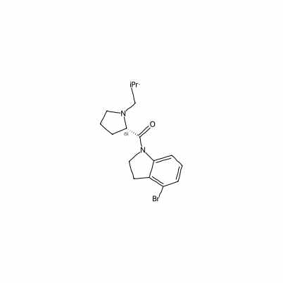 C[C](C)CN1CCC[C@H]1C(=O)N1CCc2c(Br)cccc21